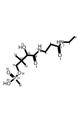 CCNC(=O)CCNC(=O)C(O)C(C)(C)COP(C)(=O)O